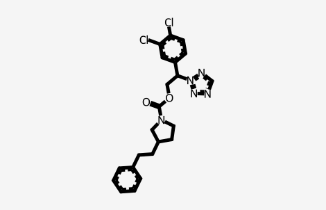 O=C(OCC(c1ccc(Cl)c(Cl)c1)n1ncnn1)N1CCC(CCc2ccccc2)C1